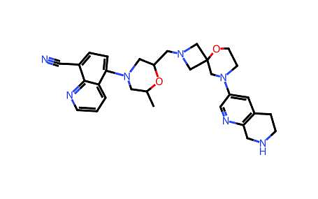 CC1CN(c2ccc(C#N)c3ncccc23)CC(CN2CC3(C2)CN(c2cnc4c(c2)CCNC4)CCO3)O1